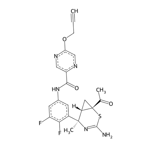 C#CCOc1cnc(C(=O)Nc2cc(F)c(F)c([C@]3(C)N=C(N)S[C@@]4(C(C)=O)C[C@@H]34)c2)cn1